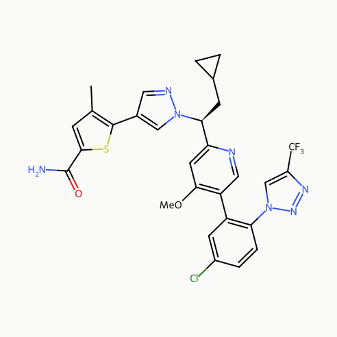 COc1cc([C@H](CC2CC2)n2cc(-c3sc(C(N)=O)cc3C)cn2)ncc1-c1cc(Cl)ccc1-n1cc(C(F)(F)F)nn1